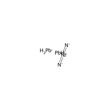 [N-]=[N+]=[N-].[PbH2].[PbH2]